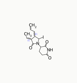 C=C/C=C1\C(=C/C)C(=O)N(C2CCC(=O)NC2=O)C1I